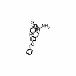 C[C@]12CC[C@@H]3c4ccc(OCc5ccccc5)cc4CC[C@H]3[C@@H]1[C@H](CN)CC2=O